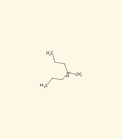 [CH2-][NH+](CCC)CCC